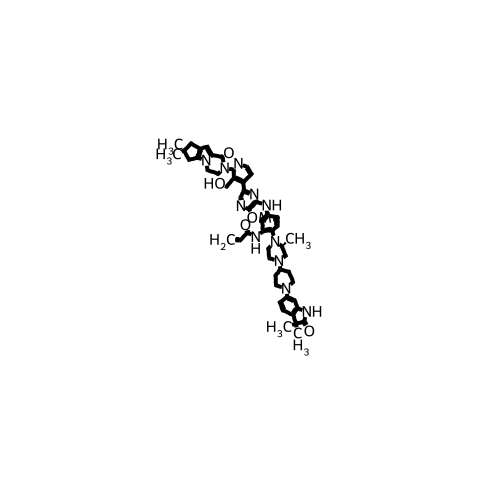 C=CC(=O)Nc1cc(Nc2nc(-c3ccnc(N4CCn5c(cc6c5CC(C)(C)C6)C4=O)c3CO)cnc2OC)ccc1N1CCN(C2CCN(c3ccc4c(c3)NC(=O)C4(C)C)CC2)C[C@@H]1C